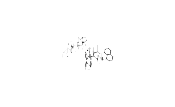 O=C(O[C@@H]1CN2CCC[C@]2(COc2nc(N3CC4CCC(C3)N4)c3cnc(-c4cccc5cccc(Cl)c45)c(F)c3n2)C1)N1CCOCC1